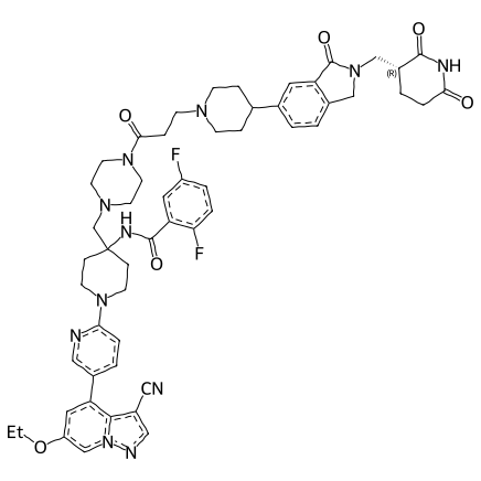 CCOc1cc(-c2ccc(N3CCC(CN4CCN(C(=O)CCN5CCC(c6ccc7c(c6)C(=O)N(C[C@H]6CCC(=O)NC6=O)C7)CC5)CC4)(NC(=O)c4cc(F)ccc4F)CC3)nc2)c2c(C#N)cnn2c1